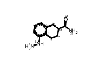 NNc1cccc2c1CCC(C(N)=O)C2